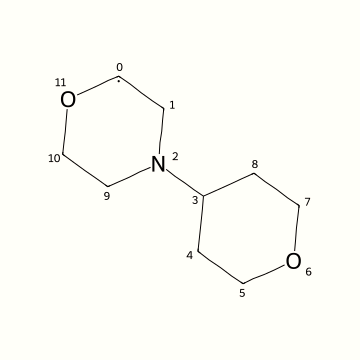 [CH]1CN(C2CCOCC2)CCO1